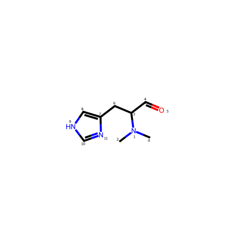 CN(C)C([C]=O)Cc1c[nH]cn1